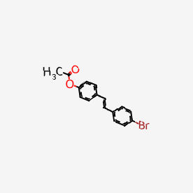 CC(=O)Oc1ccc(/C=C/c2ccc(Br)cc2)cc1